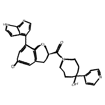 O=C([C@H]1Cc2cc(Cl)cc(-c3ccnc4[nH]ccc34)c2O1)N1CCC(O)(c2ccncc2)CC1